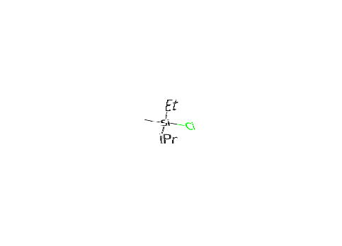 CC[Si](C)(Cl)C(C)C